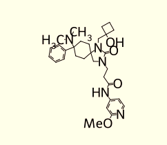 COc1cc(NC(=O)CCN2CC3(CCC(c4ccccc4)(N(C)C)CC3)N(CC3(O)CCC3)C2=O)ccn1